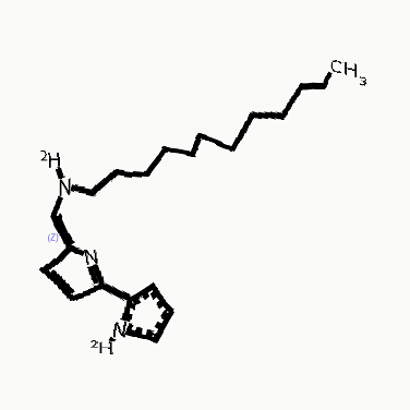 [2H]N(/C=C1/C=CC(c2cccn2[2H])=N1)CCCCCCCCCCCC